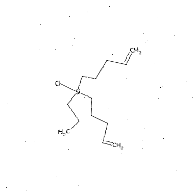 C=CCCC[Si](Cl)(CCC)CCCC=C